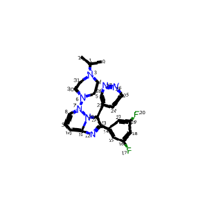 CC(C)N1CCN(N2C=CC=C3N=C(c4cc(F)cc(F)c4)C(c4ccnnc4)N32)CC1